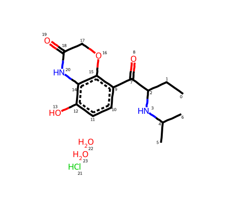 CCC(NC(C)C)C(=O)c1ccc(O)c2c1OCC(=O)N2.Cl.O.O